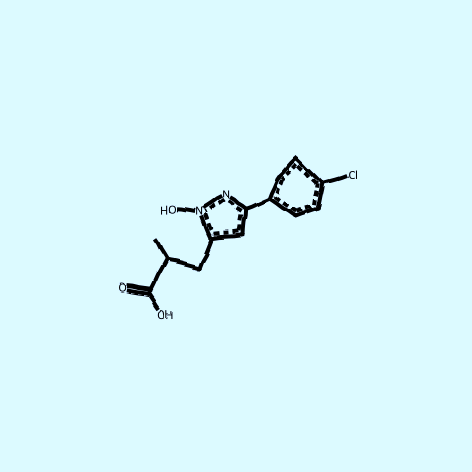 CC(Cc1cc(-c2ccc(Cl)cc2)nn1O)C(=O)O